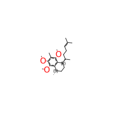 COc1c(C)c(OC)c2c(c1OC)[C@@H](C)CC[C@@H]2C(C)CCC=C(C)C